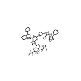 CCC(=O)N[C@H]1C[C@@H](n2cnc3c(NCC(c4ccccc4)c4ccccc4)nc(N4CC[C@@H](NC(=O)Nc5conc5-c5ccccc5)C4)nc32)[C@H](OC(=O)C(F)(F)F)[C@@H]1O